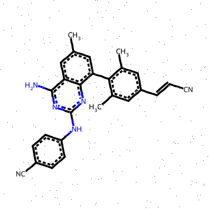 Cc1cc(-c2c(C)cc(/C=C/C#N)cc2C)c2nc(Nc3ccc(C#N)cc3)nc(N)c2c1